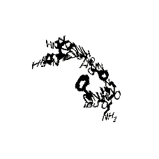 CC[C@H](C)[C@H](NC(=O)c1ccccc1)C(=O)N[C@@H](CCCCN)C(=O)N1CCN(c2ccc3ncn(CC(=O)NCC(=O)N[C@@H](Cc4c[nH]cn4)C(=O)N[C@@H](Cc4ccc(O)cc4)C(=O)NC)c(=O)c3c2)CC1